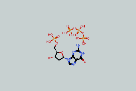 Nc1nc2c(ncn2[C@H]2C[C@H](O)[C@@H](COP(=O)(O)O)O2)c(=O)[nH]1.O=P(O)(O)OP(=O)(O)OP(=O)(O)O